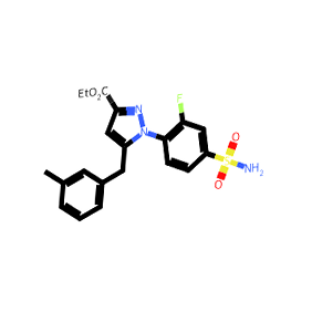 CCOC(=O)c1cc(Cc2cccc(C)c2)n(-c2ccc(S(N)(=O)=O)cc2F)n1